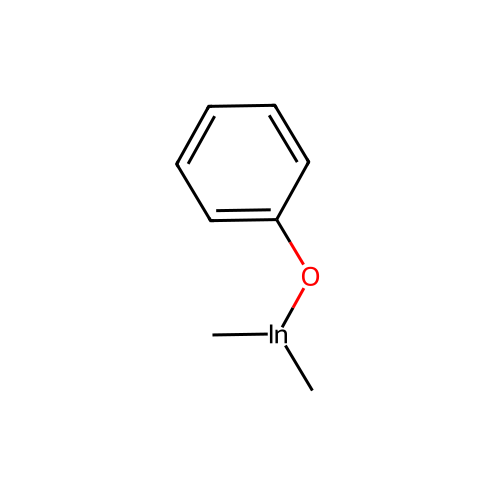 [CH3][In]([CH3])[O]c1ccccc1